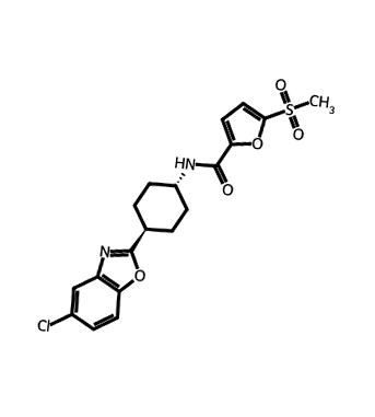 CS(=O)(=O)c1ccc(C(=O)N[C@H]2CC[C@H](c3nc4cc(Cl)ccc4o3)CC2)o1